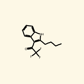 CCCCc1[nH]c2ccccc2c1C(=O)C(F)(F)F